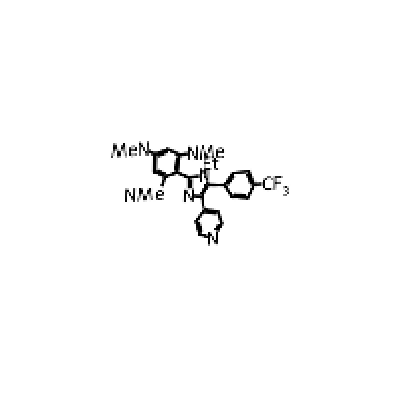 CCn1c(-c2c(NC)cc(NC)cc2NC)nc(-c2ccncc2)c1-c1ccc(C(F)(F)F)cc1